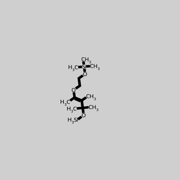 CC(OCCO[Si](C)(C)C)=C(C)C(C)(C)O[SiH3]